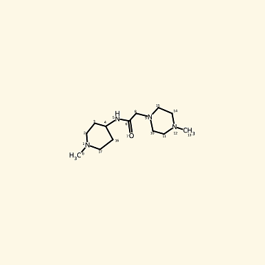 CN1CCC(NC(=O)CN2CCN(C)CC2)CC1